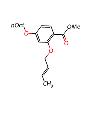 CC=CCOc1cc(OCCCCCCCC)ccc1C(=O)OC